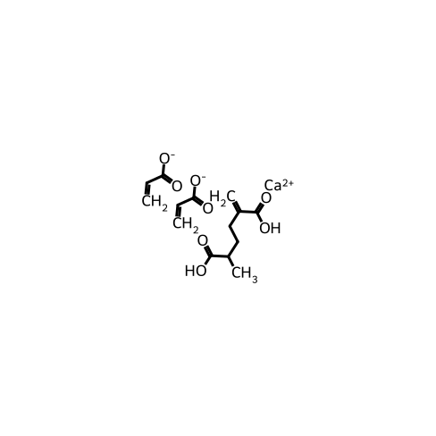 C=C(CCC(C)C(=O)O)C(=O)O.C=CC(=O)[O-].C=CC(=O)[O-].[Ca+2]